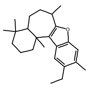 CCc1cc2c3c(oc2cc1C)C(C)CCC1C(C)(C)CCCC31C